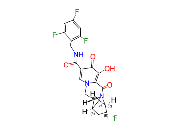 C[C@H]1[C@H]2C[C@@H](F)[C@@H]1N1C(=O)c3c(O)c(=O)c(C(=O)NCc4c(F)cc(F)cc4F)cn3C[C@@H]21